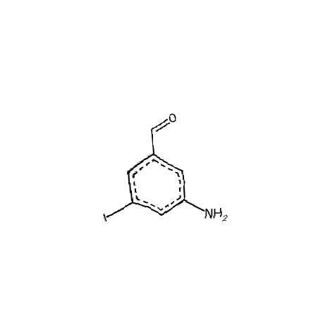 Nc1cc(I)cc(C=O)c1